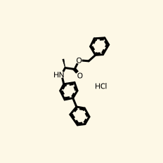 C[C@H](Nc1ccc(-c2ccccc2)cc1)C(=O)OCc1ccccc1.Cl